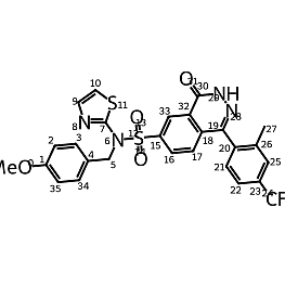 COc1ccc(CN(c2nccs2)S(=O)(=O)c2ccc3c(-c4ccc(C(F)(F)F)cc4C)n[nH]c(=O)c3c2)cc1